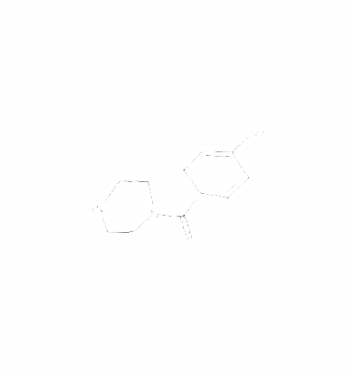 O=C(C1C=CC(S)=CC1)N1CCNCC1